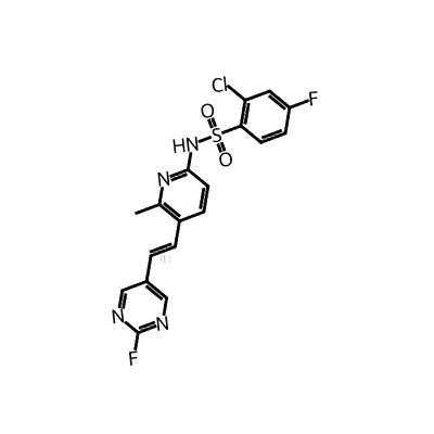 Cc1nc(NS(=O)(=O)c2ccc(F)cc2Cl)ccc1/C=C/c1cnc(F)nc1